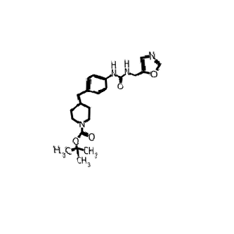 CC(C)(C)OC(=O)N1CCC(Cc2ccc(NC(=O)NCc3cnco3)cc2)CC1